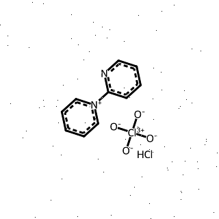 Cl.[O-][Cl+3]([O-])([O-])[O-].c1cc[n+](-c2ccccn2)cc1